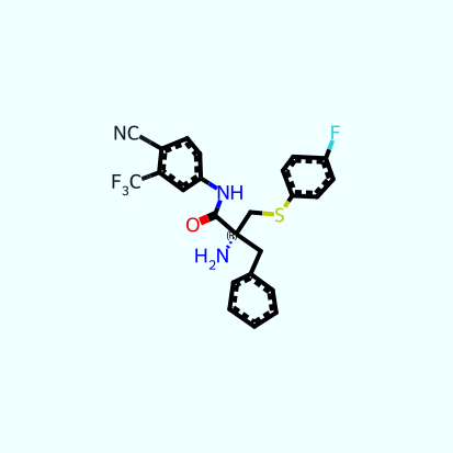 N#Cc1ccc(NC(=O)[C@@](N)(CSc2ccc(F)cc2)Cc2ccccc2)cc1C(F)(F)F